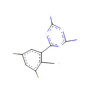 COc1c(Cl)cc(Cl)cc1-c1nc(N)nc(N)n1